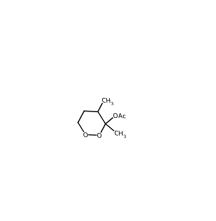 CC(=O)OC1(C)OOCCC1C